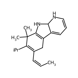 C/C=C\C1=C(C(C)C)C(C)(C)C2=C(C1)C1=CC=CNC1N2